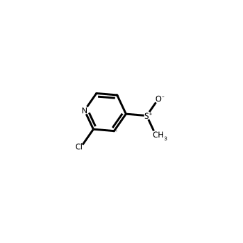 C[S+]([O-])c1[c]c(Cl)ncc1